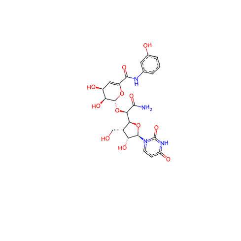 NC(=O)[C@H](O[C@H]1OC(C(=O)Nc2cccc(O)c2)=C[C@H](O)[C@@H]1O)[C@H]1O[C@@H](n2ccc(=O)[nH]c2=O)[C@H](O)[C@@H]1CO